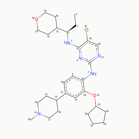 CC[C@@H](Nc1nc(Nc2ccc(C3CCN(C)CC3)cc2OC2CCCC2)ncc1Cl)C1CCOCC1